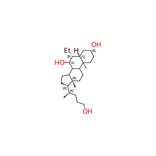 CC[C@H]1[C@H](O)C2C(CC[C@@]3(C)C2CC[C@@H]3[C@H](C)CCCO)C2(C)CC[C@@H](O)C[C@@H]12